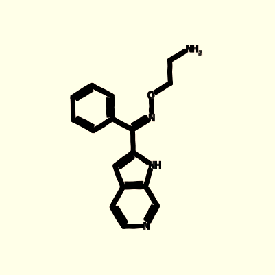 NCCO/N=C(\c1ccccc1)c1cc2ccncc2[nH]1